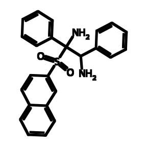 NC(c1ccccc1)C(N)(c1ccccc1)S(=O)(=O)c1ccc2ccccc2c1